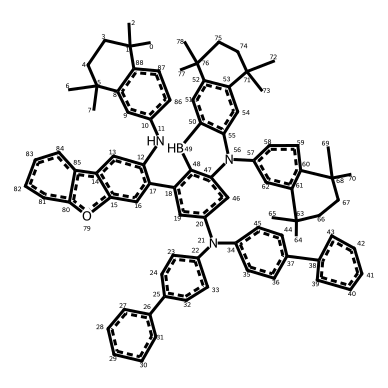 CC1(C)CCC(C)(C)c2cc(Nc3cc4c(cc3-c3cc(N(c5ccc(-c6ccccc6)cc5)c5ccc(-c6ccccc6)cc5)cc5c3Bc3cc6c(cc3N5c3ccc5c(c3)C(C)(C)CCC5(C)C)C(C)(C)CCC6(C)C)oc3ccccc34)ccc21